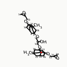 CC12CC3CC(OCC(O)COC45CC6CC(C)(C4)CC(OCC4CO4)(C6)C5)(C1)CC(OCC1CO1)(C3)C2